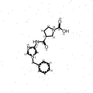 O=C(Nc1cn(Cc2ccccc2)cn1)[C@H]1CCN(C(=O)O)C1